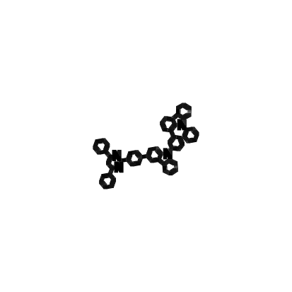 c1ccc(-c2cc(-c3ccccc3)nc(-c3ccc(-c4ccc5c(c4)c4ccccc4n5-c4cccc(-c5cccc6c7ccccc7n(-c7ccccc7)c56)c4)cc3)n2)cc1